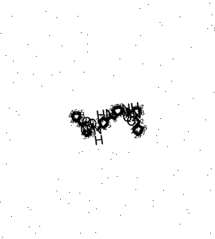 O=C(Nc1ccc(-c2cc3cc(NC(=O)[C@@H]4CCCN4C(=O)Cc4ccccc4)ccc3[nH]2)cc1)[C@@H]1CCCN1C(=O)Cc1ccccc1